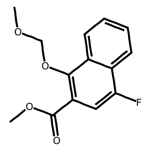 COCOc1c(C(=O)OC)cc(F)c2ccccc12